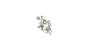 Cc1cc(OC2CCN(C(=O)OC(C)(C)C)C2)nc(-c2n[nH]c(=O)[nH]2)c1